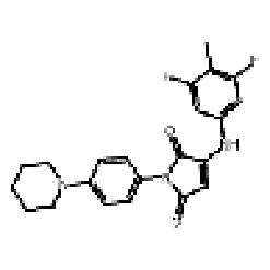 Cc1c(F)cc(NC2=CC(=O)N(c3ccc(N4CCCCC4)cc3)C2=O)cc1F